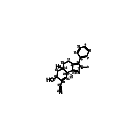 Cn1nc2c(c1-c1ccccc1)CC[C@H]1CC(O)C(C#N)=C[C@]21C